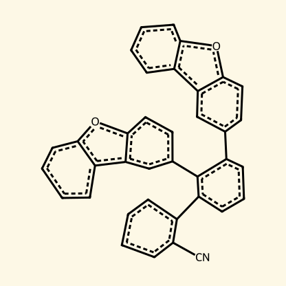 N#Cc1ccccc1-c1cccc(-c2ccc3oc4ccccc4c3c2)c1-c1ccc2oc3ccccc3c2c1